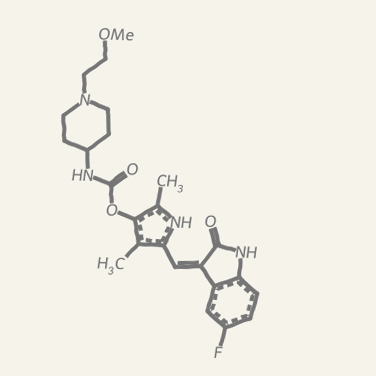 COCCN1CCC(NC(=O)Oc2c(C)[nH]c(/C=C3\C(=O)Nc4ccc(F)cc43)c2C)CC1